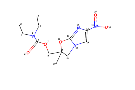 CCN(CC)C(=O)OCC1(C)Cn2cc([N+](=O)[O-])nc2O1